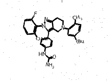 COc1cccc(F)c1-n1nc2c(c1-c1ccc(NC(N)=O)cc1)CN(c1cc(C(C)(C)C)ccc1C)CC2